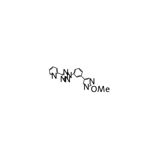 COc1ncc(-c2cccc(-n3nnc(-c4ccccn4)n3)c2)cn1